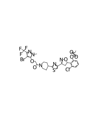 Cn1nc(C(F)(F)F)c(Br)c1OCC(=O)N1CCC(c2nc(C3=NOC(c4c(Cl)cccc4OS(C)(=O)=O)C3)cs2)CC1